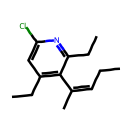 CC/C=C(/C)c1c(CC)cc(Cl)nc1CC